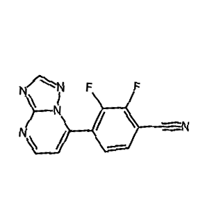 N#Cc1ccc(-c2ccnc3ncnn23)c(F)c1F